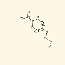 CCCCC1OCC(C(C)C)CO1